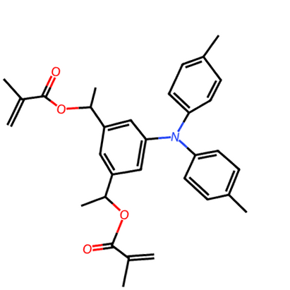 C=C(C)C(=O)OC(C)c1cc(C(C)OC(=O)C(=C)C)cc(N(c2ccc(C)cc2)c2ccc(C)cc2)c1